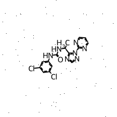 CC(NC(=O)Nc1cc(Cl)cc(Cl)c1)c1ncnn1-c1ncccn1